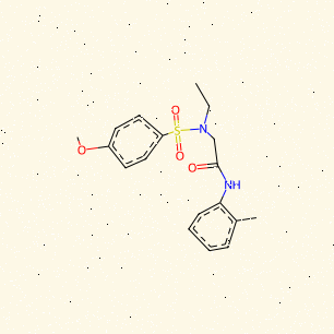 CCN(CC(=O)Nc1ccccc1C)S(=O)(=O)c1ccc(OC)cc1